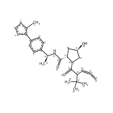 Cc1ncsc1-c1ccc([C@H](C)NC(=O)[C@@H]2C[C@@H](O)CN2C(=O)C(N=[N+]=[N-])C(C)(C)C)cc1